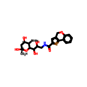 CC(=O)NC1C(C(O)C(O)CNC(=O)c2cc3c(s2)-c2ccccc2OC3)O[C@@](O)(C(=O)O)C[C@H]1O